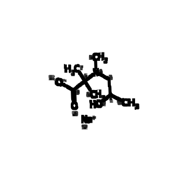 CC(O)CN(C)C(C)(C)C(=O)[O-].[Na+]